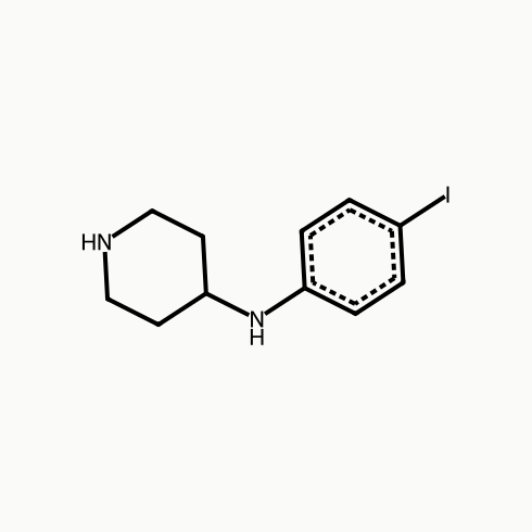 Ic1ccc(NC2CCNCC2)cc1